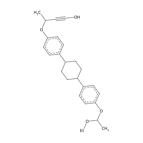 CCOC(C)Oc1ccc(C2CCC(c3ccc(OC(C)C#CO)cc3)CC2)cc1